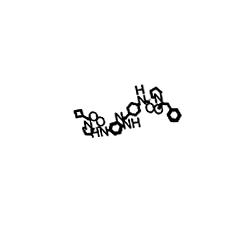 O=C(NC1CCC(c2nc3cc(NC(=O)[C@@H]4CCCN4C(=O)C4CCC4)ccc3[nH]2)CC1)[C@@H]1CCCN1C(=O)Cc1ccccc1